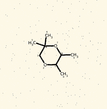 CC1OCC(C)(C)OC1C